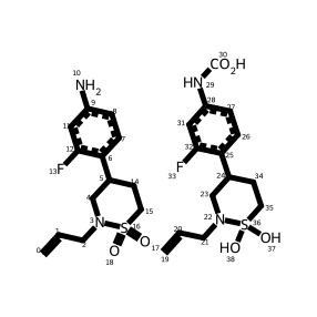 C=CCN1CC(c2ccc(N)cc2F)CCS1(=O)=O.C=CCN1CC(c2ccc(NC(=O)O)cc2F)CCS1(O)O